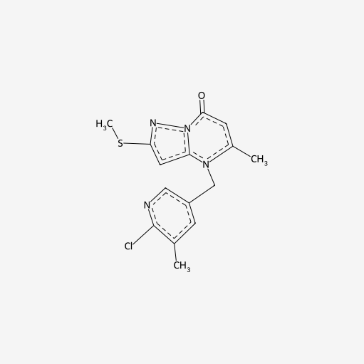 CSc1cc2n(Cc3cnc(Cl)c(C)c3)c(C)cc(=O)n2n1